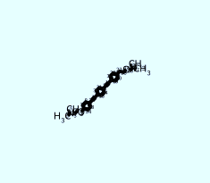 CN(C)CCOc1ccc(C#Cc2ccc(C#Cc3ccc(CCOCN(C)C)cc3)cc2)cc1